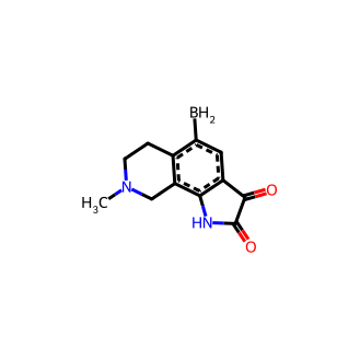 Bc1cc2c(c3c1CCN(C)C3)NC(=O)C2=O